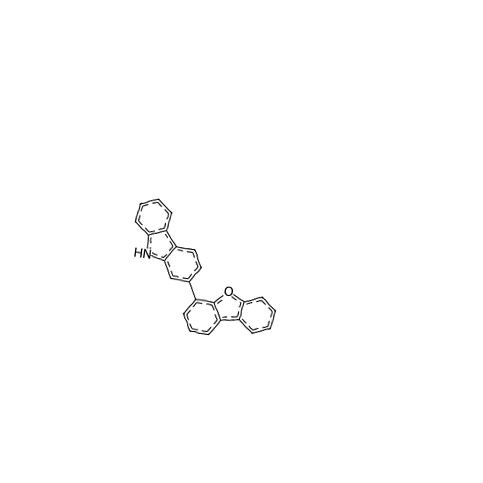 c1ccc2c(c1)[nH]c1cc(-c3cccc4c3oc3ccccc34)ccc12